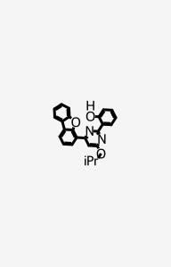 CC(C)Oc1cc(-c2cccc3c2oc2ccccc23)nc(-c2ccccc2O)n1